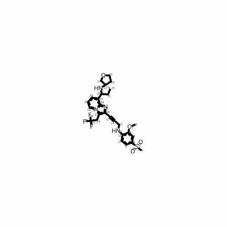 COc1cc(S(C)(=O)=O)ccc1NCC#Cc1nc2c(C3CC[C@]4(CCOC4)N3)cccn2c1CC(F)(F)F